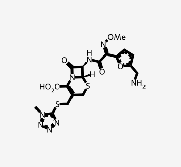 CON=C(C(=O)N[C@@H]1C(=O)N2C(C(=O)O)=C(CSc3nnnn3C)CS[C@@H]12)c1ccc(CN)o1